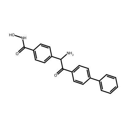 NC(C(=O)c1ccc(-c2ccccc2)cc1)c1ccc(C(=O)NO)cc1